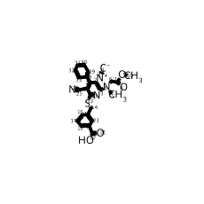 [C-]#[N+]c1c(N(C)CC(=O)OC)nc(SCc2cccc(C(=O)O)c2)c(C#N)c1-c1ccccc1